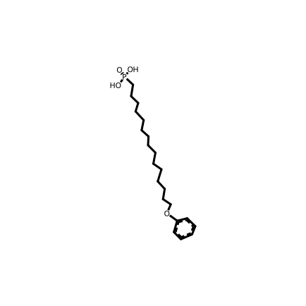 O=P(O)(O)CCCCCCCCCCCCCCCOc1ccccc1